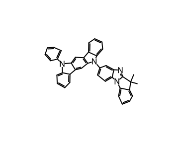 CC1(C)c2ccccc2-n2c1nc1cc(-n3c4ccccc4c4cc5c(cc43)c3ccccc3n5-c3ccccc3)ccc12